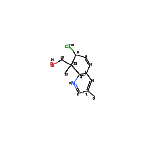 Cc1cnc2c(c1)C=CC(Cl)C2(C)CBr